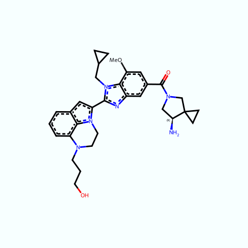 COc1cc(C(=O)N2C[C@H](N)C3(CC3)C2)cc2nc(-c3cc4cccc5c4n3CCN5CCCO)n(CC3CC3)c12